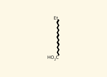 CCC=CCCCCC=CCC=CCCCCC(=O)O